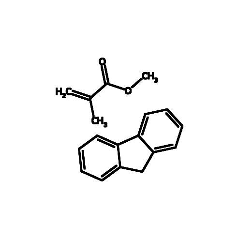 C=C(C)C(=O)OC.c1ccc2c(c1)Cc1ccccc1-2